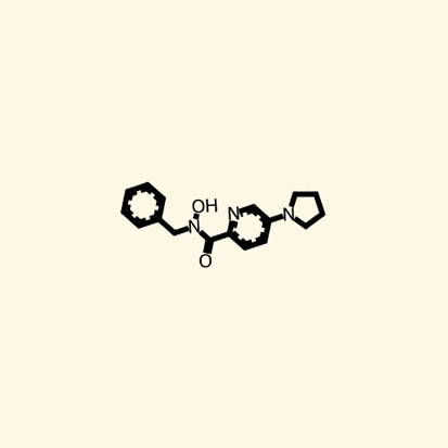 O=C(c1ccc(N2CCCC2)cn1)N(O)Cc1ccccc1